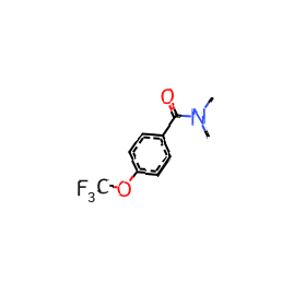 CN(C)C(=O)c1ccc(OC(F)(F)F)cc1